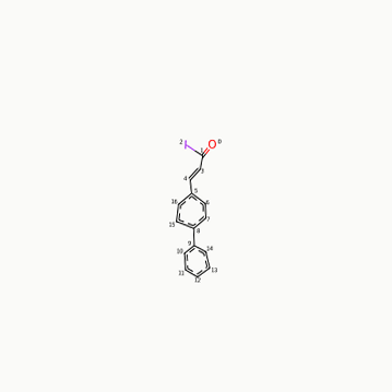 O=C(I)/C=C/c1ccc(-c2ccccc2)cc1